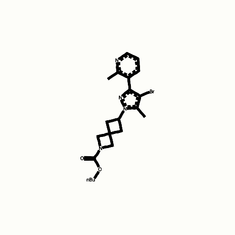 CCCCOC(=O)N1CC2(CC(n3nc(-c4cccnc4C)c(Br)c3C)C2)C1